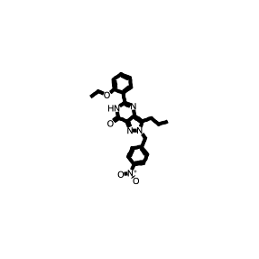 CCCc1c2nc(-c3ccccc3OCC)[nH]c(=O)c2nn1Cc1ccc([N+](=O)[O-])cc1